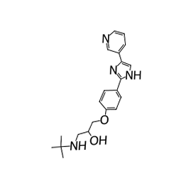 CC(C)(C)NCC(O)COc1ccc(-c2nc(-c3cccnc3)c[nH]2)cc1